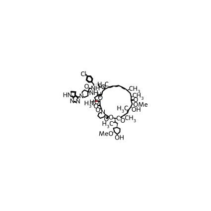 CO[C@@H]1C[C@@H](CC(C)[C@@H]2CC(=O)[C@H](C)/C=C(\C)[C@@H](O)[C@@H](OC)C(=O)[C@H](C)C[C@H](C)/C=C/C=C/C=C(/C)[C@H](OCC[C@H](NC(=O)C3(N)CCN(c4ncnc5[nH]ccc45)CC3)c3ccc(Cl)cc3)C[C@@H]3CC[C@@H](C)[C@@](O)(O3)C(=O)C(=O)N3CCCCC3C(=O)O2)CC[C@H]1O